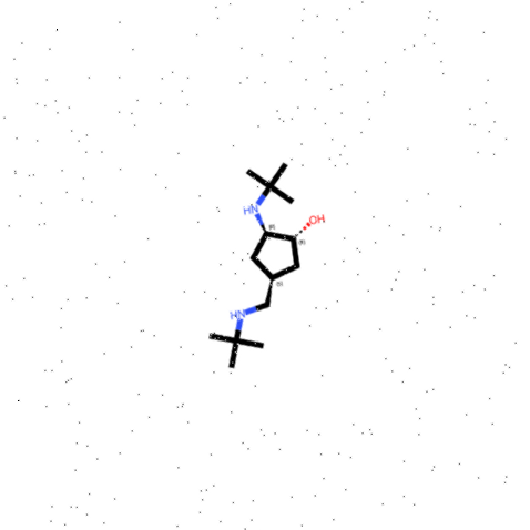 CC(C)(C)NC[C@@H]1C[C@@H](O)[C@H](NC(C)(C)C)C1